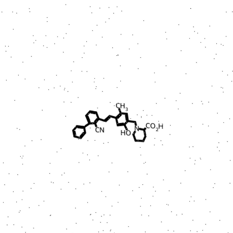 Cc1cc(CN2CCCCC2C(=O)O)c(O)cc1C=Cc1cccc(-c2ccccc2)c1C#N